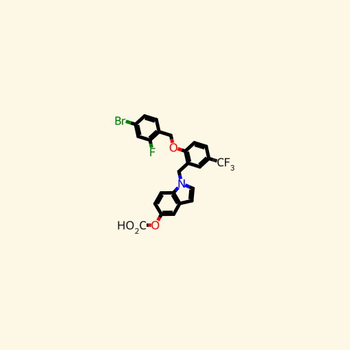 O=C(O)Oc1ccc2c(ccn2Cc2cc(C(F)(F)F)ccc2OCc2ccc(Br)cc2F)c1